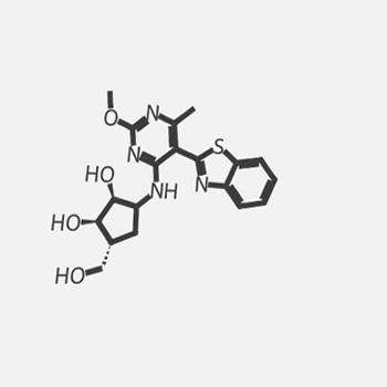 COc1nc(C)c(-c2nc3ccccc3s2)c(NC2C[C@H](CO)[C@@H](O)[C@H]2O)n1